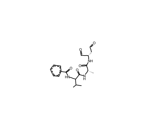 CC(C)C(NC(=O)c1ccccc1)C(=O)N[C@@H](C)C(=O)N[C@H](C=O)CC=O